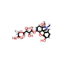 Cc1ccc(O)c2c1C13CCN(C)[C@H](C)[C@]1(O)CC=C(OC(=O)[C@@H](O)[C@H](O)C(=O)O[C@@H](C)C(=O)O)C3O2